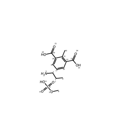 CCCN.COS(=O)(=O)O.Cc1c(C(=O)O)cccc1C(=O)O